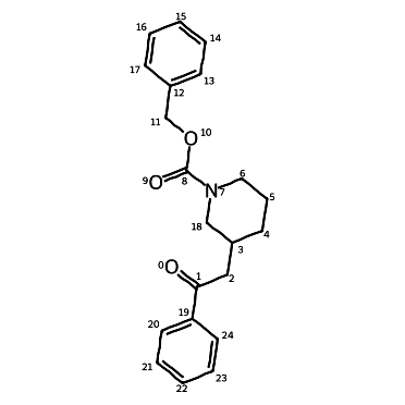 O=C(CC1CCCN(C(=O)OCc2ccccc2)C1)c1ccccc1